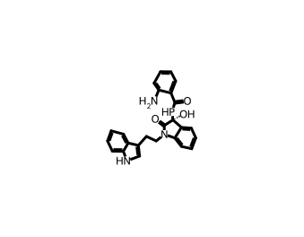 Nc1ccccc1C(=O)P[C@]1(O)C(=O)N(CCc2c[nH]c3ccccc23)c2ccccc21